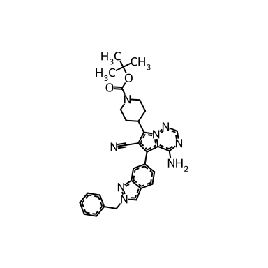 CC(C)(C)OC(=O)N1CCC(c2c(C#N)c(-c3ccc4cn(Cc5ccccc5)nc4c3)c3c(N)ncnn23)CC1